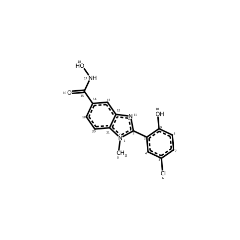 Cn1c(-c2cc(Cl)ccc2O)nc2cc(C(=O)NO)ccc21